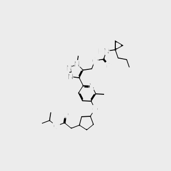 CCCC1(NC(=O)OCc2c(-c3ccc(OC4CCC(CC(=O)OC(C)C)C4)c(C)n3)nnn2C)CC1